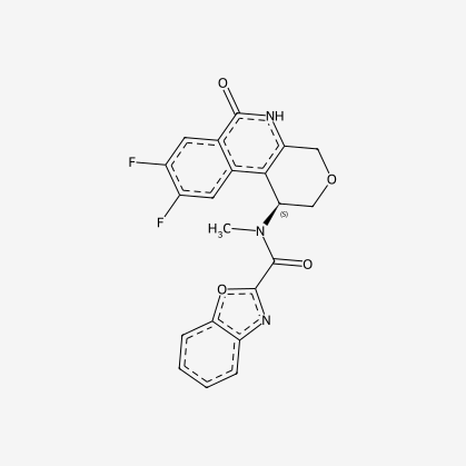 CN(C(=O)c1nc2ccccc2o1)[C@@H]1COCc2[nH]c(=O)c3cc(F)c(F)cc3c21